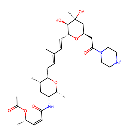 CC(=O)O[C@@H](C)/C=C\C(=O)N[C@@H]1C[C@H](C)[C@H](C/C=C(C)/C=C/[C@H]2O[C@H](CC(=O)N3CCNCC3)C[C@](C)(O)[C@@H]2O)O[C@@H]1C